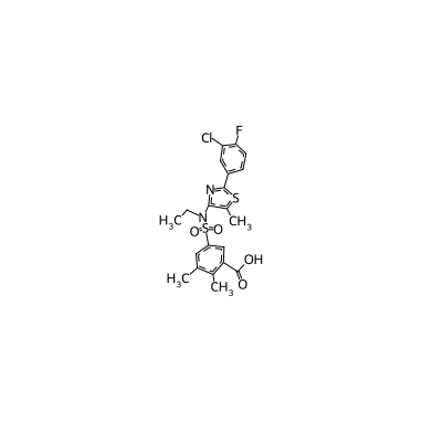 CCN(c1nc(-c2ccc(F)c(Cl)c2)sc1C)S(=O)(=O)c1cc(C)c(C)c(C(=O)O)c1